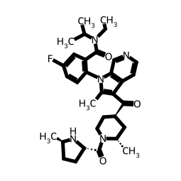 CCN(C(=O)c1cc(F)ccc1-n1c(C)c(C(=O)[C@@H]2CCN(C(=O)[C@@H]3CC[C@@H](C)N3)[C@@H](C)C2)c2ccncc21)C(C)C